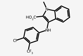 Cn1c(C(=O)O)c(Nc2ccc(Cl)c(C(F)(F)F)c2)c2ccccc21